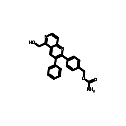 NC(=O)OCc1ccc(-c2nc3ccnc(CO)c3cc2-c2ccccc2)cc1